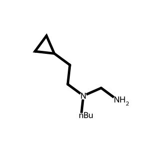 CCCCN(CN)CCC1CC1